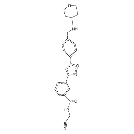 N#CCNC(=O)c1cccc(-c2cc(-c3ccc(CNC4CCOCC4)cc3)on2)c1